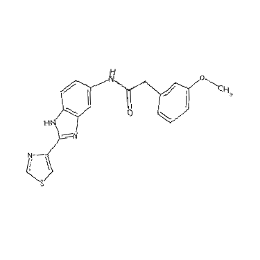 COc1cccc(CC(=O)Nc2ccc3[nH]c(-c4cscn4)nc3c2)c1